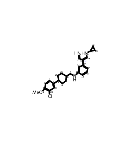 COc1ccc(C2CCC(CNc3cccc(/C(C=N)=C/NC4CC4)c3)CC2)cc1Cl